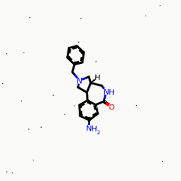 Nc1ccc2c(c1)C(=O)NC[C@H]1CN(Cc3ccccc3)CC21